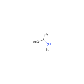 CCCC(NCC)OC(C)=O